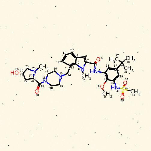 COc1c(NC(=O)c2cc3cccc(CN4CCN(C(=O)[C@H]5C[C@H](O)CN5C)CC4)c3n2C)cc(C(C)(C)C)cc1NS(C)(=O)=O